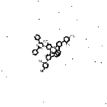 N#Cc1ccc(-c2ccc3c(c2)c2ccccc2n3-c2cc(C#N)c(-c3cc(-c4ccccc4)nc(-c4ccccc4)n3)cc2-n2c3ccccc3c3cc(-c4ccc(C#N)cc4C#N)ccc32)c(C#N)c1